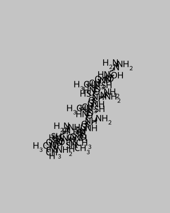 CC[C@H](C)[C@H](NC(=O)CN)C(=O)N[C@@H](CS)C(=O)N[C@@H](CCCN=C(N)N)C(=O)N[C@@H](CS)C(=O)N[C@H](C(=O)N[C@@H](CS)C(=O)NCC(=O)N[C@@H](CCCCN)C(=O)NCC(=O)N[C@H](C(=O)N[C@@H](CS)C(=O)N[C@@H](CCCN=C(N)N)C(=O)N[C@@H](CS)C(=O)N[C@H](C(=O)N[C@@H](CS)C(=O)NCC(=O)N[C@@H](CCCN=C(N)N)C(=O)O)[C@@H](C)CC)[C@@H](C)CC)[C@@H](C)CC